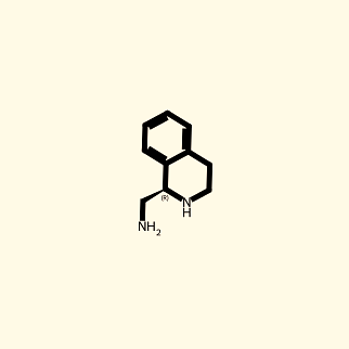 NC[C@@H]1NCCc2ccccc21